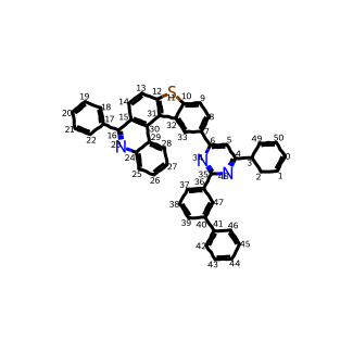 C1=CCC(c2cc(-c3ccc4sc5ccc6c(-c7ccccc7)nc7ccccc7c6c5c4c3)nc(-c3cccc(-c4ccccc4)c3)n2)C=C1